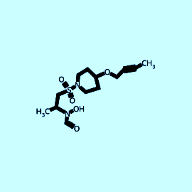 CC#CCOC1CCN(S(=O)(=O)CC(C)N(O)C=O)CC1